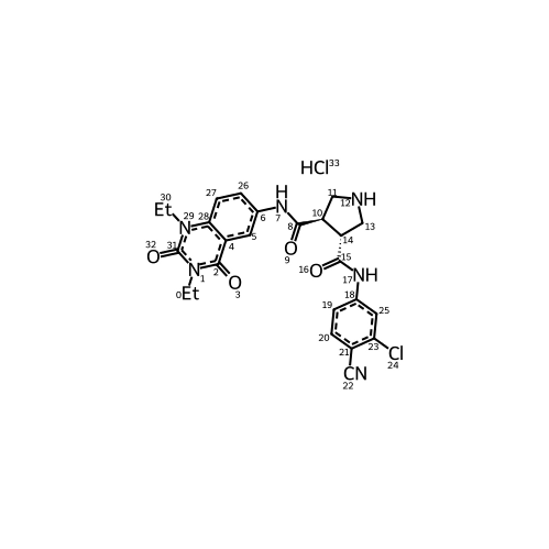 CCn1c(=O)c2cc(NC(=O)[C@H]3CNC[C@@H]3C(=O)Nc3ccc(C#N)c(Cl)c3)ccc2n(CC)c1=O.Cl